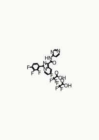 O=C(Nc1ccncn1)c1nc(-c2ccc(F)c(F)c2F)n2ccccc12.O=C(O)C(F)(F)F.O=C(O)C(F)(F)F